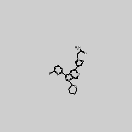 NC(=O)Cn1cc(-c2cc3c(-c4cccc(F)n4)nn(C4CCCCO4)c3cn2)cn1